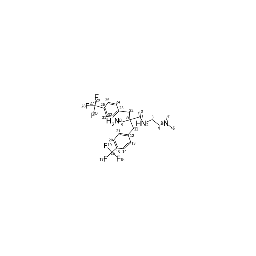 C=C(NCCN(C)C)C(CN)(Cc1ccc(C(F)(F)F)cc1)Cc1ccc(C(F)(F)F)cc1